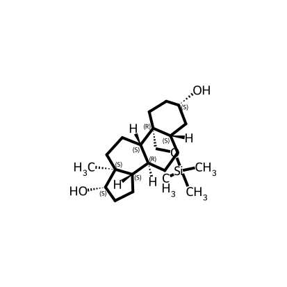 C[C@]12CC[C@H]3[C@@H](CC[C@H]4C[C@@H](O)CC[C@@]43CO[Si](C)(C)C)[C@@H]1CC[C@@H]2O